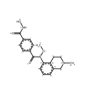 CON(C(=O)c1ccc(C(=O)NO)cc1)c1cccc2c1CCN(C)C2